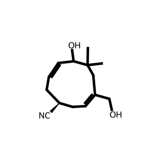 CC1(C)C/C(CO)=C\C[C@@H](C#N)C/C=C\C1O